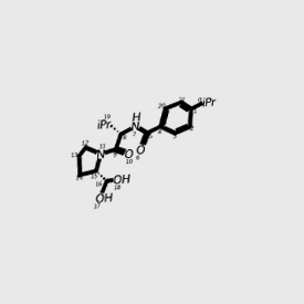 CC(C)c1ccc(C(=O)N[C@H](C(=O)N2CCC[C@H]2C(O)O)C(C)C)cc1